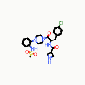 CS(=O)(=O)Nc1ccccc1N1CCN(C(=O)[C@@H](Cc2ccc(Cl)cc2)NC(=O)C2CNC2)CC1